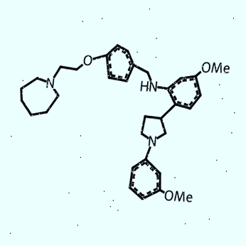 COc1cccc(N2CCC(c3ccc(OC)cc3NCc3ccc(OCCN4CCCCCC4)cc3)C2)c1